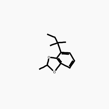 CCC(C)(C)c1cccc2c1OC(C)O2